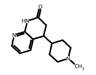 CN1CCC(C2CC(=O)Nc3ncccc32)CC1